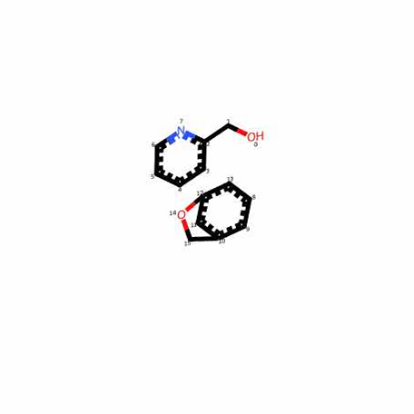 OCc1ccccn1.c1cc2cc(c1)OC2